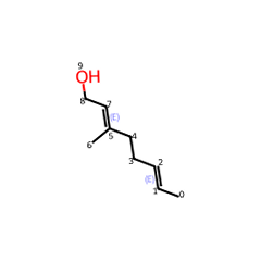 C/C=C/CC/C(C)=C/CO